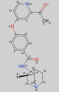 CC(=O)c1cc(Oc2ccc(C(=O)N[C@H]3CN4CCC3CC4)cc2)ccn1